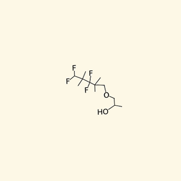 CC(O)COCC(C)(C)C(F)(F)C(C)(C)C(F)F